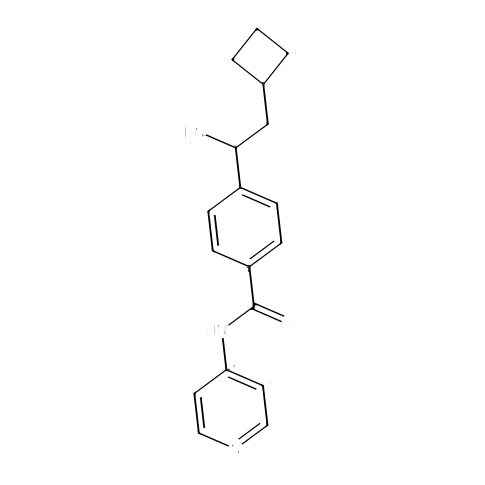 NC(CC1CCC1)c1ccc(C(=O)Nc2ccncc2)cc1